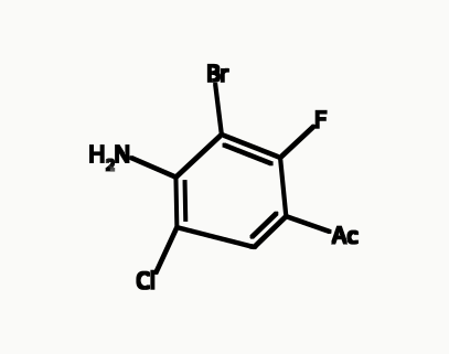 CC(=O)c1cc(Cl)c(N)c(Br)c1F